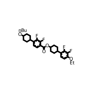 CCCCOC1CCC(c2ccc(C(=O)OC3CCC(c4ccc(OCC)c(F)c4F)CC3)c(F)c2F)CC1